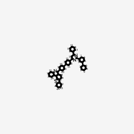 c1ccc(-c2cccc(-c3nc(-c4ccccc4)cc(-c4ccc(-c5ccc(-c6nc7ccccc7c7c6ccc6c8ccccc8sc67)cc5)cc4)n3)c2)cc1